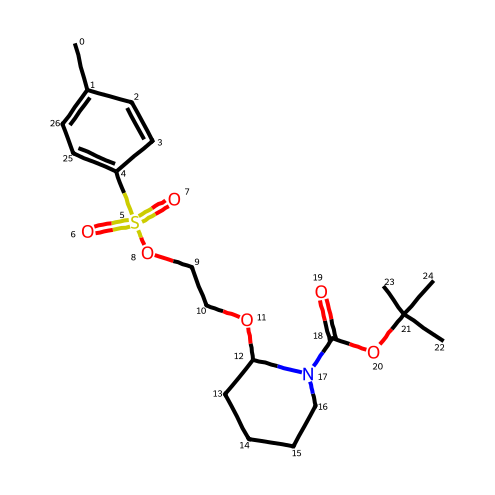 Cc1ccc(S(=O)(=O)OCCOC2CCCCN2C(=O)OC(C)(C)C)cc1